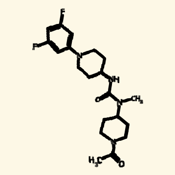 CC(=O)N1CCC(N(C)C(=O)NC2CCN(c3cc(F)cc(F)c3)CC2)CC1